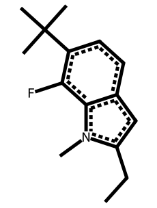 CCc1cc2ccc(C(C)(C)C)c(F)c2n1C